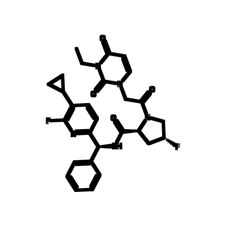 CCn1c(=O)ccn(CC(=O)N2C[C@H](F)C[C@H]2C(=O)N[C@@H](c2ccccc2)c2ccc(C3CC3)c(F)n2)c1=O